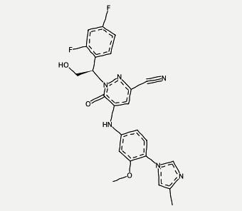 COc1cc(Nc2cc(C#N)nn([C@@H](CO)c3ccc(F)cc3F)c2=O)ccc1-n1cnc(C)c1